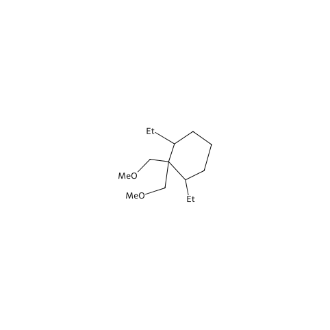 CCC1CCCC(CC)C1(COC)COC